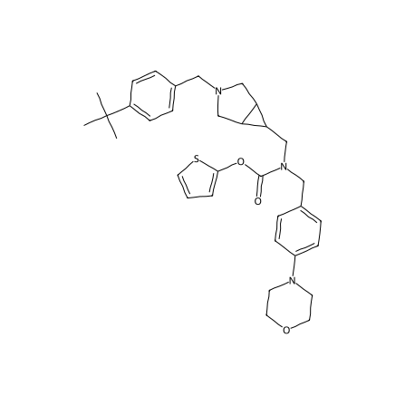 CC(C)(C)c1ccc(CN2CC3C(C2)C3CN(Cc2ccc(N3CCOCC3)cc2)C(=O)Oc2cccs2)cc1